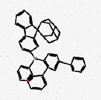 c1ccc(-c2ccc(N(c3ccccc3)c3ccc4c(c3)C3(c5ccccc5-4)C4CC5CC(C4)CC3C5)c(-c3ccccc3)c2)cc1